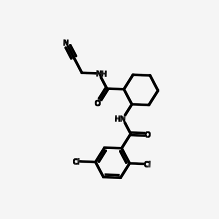 N#CCNC(=O)C1CCCCC1NC(=O)c1cc(Cl)ccc1Cl